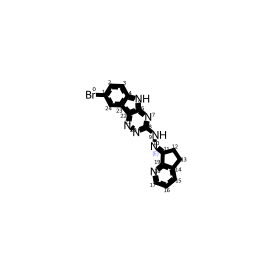 Brc1ccc2[nH]c3nc(N/N=C4\CCc5cccnc54)nnc3c2c1